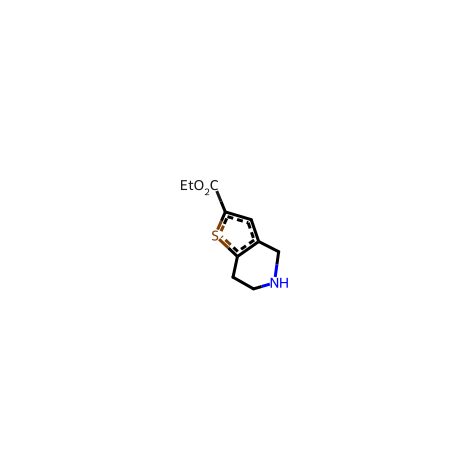 CCOC(=O)c1cc2c(s1)CCNC2